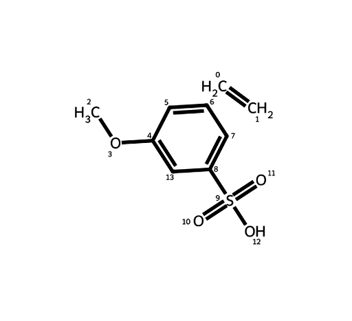 C=C.COc1cccc(S(=O)(=O)O)c1